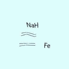 C=C.C=C.[Fe].[NaH]